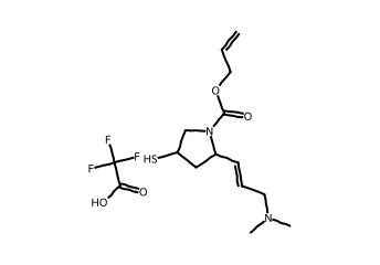 C=CCOC(=O)N1CC(S)CC1C=CCN(C)C.O=C(O)C(F)(F)F